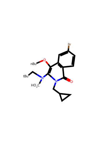 CCCCOc1c(N(CC(C)(C)C)C(=O)O)n(CC2CC2)c(=O)c2ccc(Br)cc12